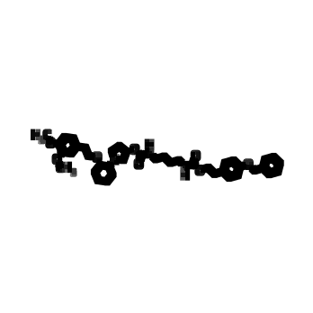 COc1ccc(CCO[C@@H]2CCCCC2N2CC[C@@H](OC(=O)NCCCCNC(=O)OCCc3ccc(OCc4ccccc4)cc3)C2)cc1OC